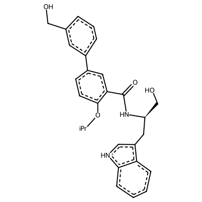 CC(C)Oc1ccc(-c2cccc(CO)c2)cc1C(=O)N[C@@H](CO)Cc1c[nH]c2ccccc12